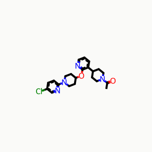 CC(=O)N1CCC(c2cccnc2OC2CCN(c3ccc(Cl)cn3)CC2)CC1